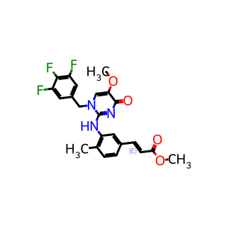 COC(=O)/C=C/c1ccc(C)c(Nc2nc(=O)c(OC)cn2Cc2cc(F)c(F)c(F)c2)c1